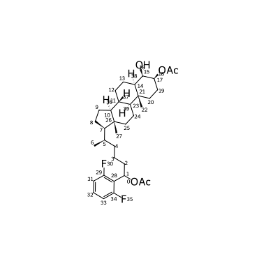 CC(=O)OC(CCC[C@@H](C)[C@H]1CC[C@H]2[C@@H]3CC[C@H]4[C@@H](O)[C@@H](OC(C)=O)CC[C@]4(C)[C@H]3CC[C@]12C)c1c(F)cccc1F